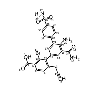 C#CCc1ccc(C(=O)O)c(Br)c1-c1cc(C(N)=O)c(N)c(-c2ccc(S(N)(=O)=O)cc2)c1